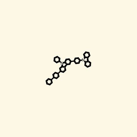 c1ccc(-c2ccc(-c3ccc4c5cc(-c6ccc(-n7c8ccccc8c8ccccc87)cc6)ccc5n(-c5ccccc5)c4c3)cc2)cc1